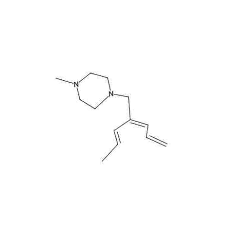 C=C/C=C(\C=C\C)CN1CCN(C)CC1